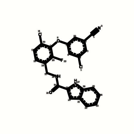 N#Cc1cc(Cl)cc(Oc2c(Cl)ccc(CNC(=O)c3cc4ccccc4[nH]3)c2F)c1